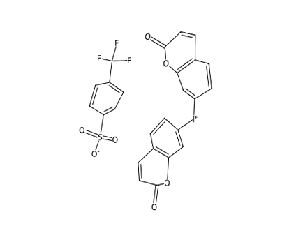 O=S(=O)([O-])c1ccc(C(F)(F)F)cc1.O=c1ccc2ccc([I+]c3ccc4ccc(=O)oc4c3)cc2o1